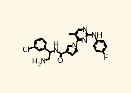 Cc1cnc(Nc2ccc(F)cc2)nc1-n1ccc(C(=O)NC(CN)c2cccc(Cl)c2)c1